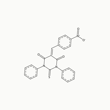 O=C1C(=Cc2ccc([N+](=O)[O-])cc2)C(=O)N(c2ccccc2)C(=S)N1c1ccccc1